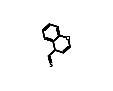 S=CC1C=COc2ccccc21